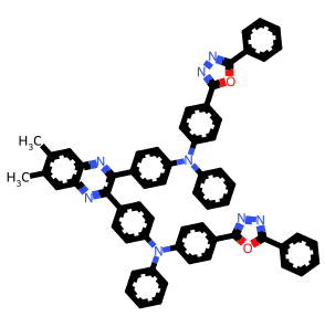 Cc1cc2nc(-c3ccc(N(c4ccccc4)c4ccc(-c5nnc(-c6ccccc6)o5)cc4)cc3)c(-c3ccc(N(c4ccccc4)c4ccc(-c5nnc(-c6ccccc6)o5)cc4)cc3)nc2cc1C